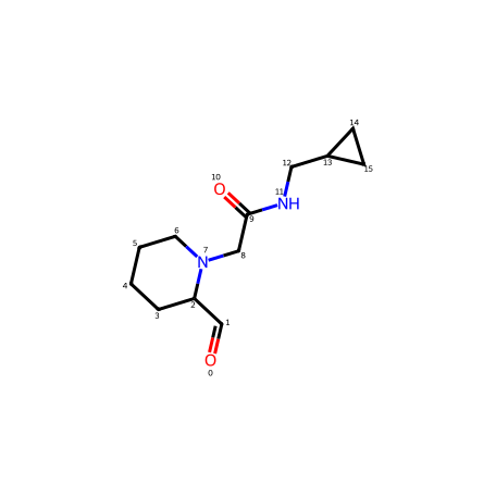 O=CC1CCCCN1CC(=O)NCC1CC1